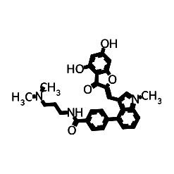 CN(C)CCCNC(=O)c1ccc(-c2cccc3c2c(C=C2Oc4cc(O)cc(O)c4C2=O)cn3C)cc1